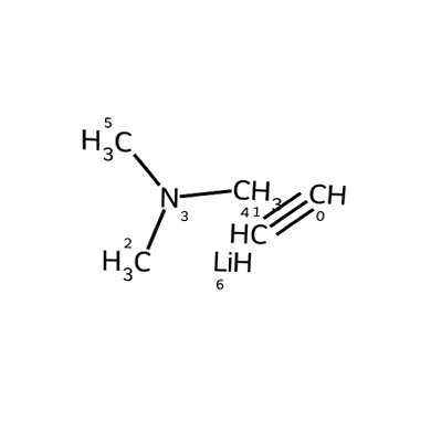 C#C.CN(C)C.[LiH]